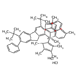 Cl.Cl.[CH2]=[Zr]([C]1=C(C)C(C)=C(C)C1C)([c]1ccc(C)cc1)([c]1ccc(C)cc1)[c]1c2c(cc(C(C)(C)C)c1-c1ccccc1)-c1cc(C(C)(C)C)c(-c3ccccc3)cc1C2